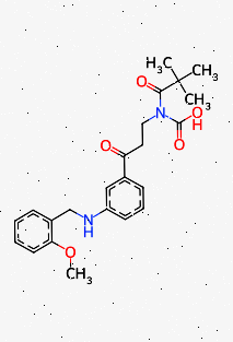 COc1ccccc1CNc1cccc(C(=O)CCN(C(=O)O)C(=O)C(C)(C)C)c1